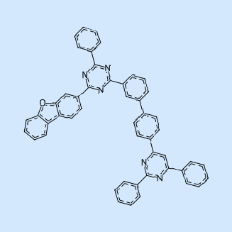 c1ccc(-c2cc(-c3ccc(-c4cccc(-c5nc(-c6ccccc6)nc(-c6ccc7c(c6)oc6ccccc67)n5)c4)cc3)nc(-c3ccccc3)n2)cc1